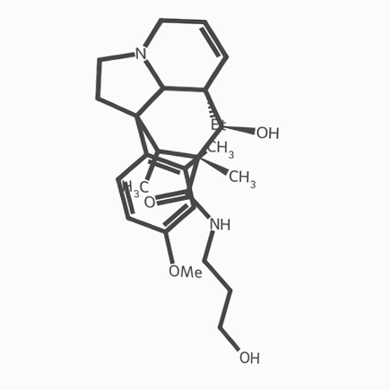 CC[C@@]12C=CCN3CCC(c4ccc(OC)cc4C)(C31)C(C)[C@@](C)(C(=O)NCCCO)[C@@H]2O